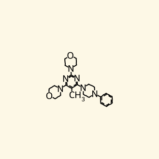 Cc1c(N2CCOCC2)nc(N2CCOCC2)nc1N1CCN(c2ccccc2)CC1